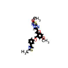 COc1cc(COc2cccc(-c3csc(C)n3)c2)c2cc(-c3cn4nc(OC)sc4n3)oc2c1